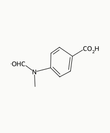 CN([C]=O)c1ccc(C(=O)O)cc1